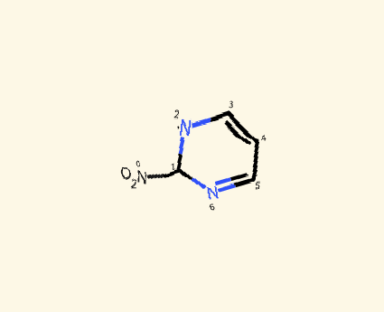 O=[N+]([O-])C1[N]C=CC=N1